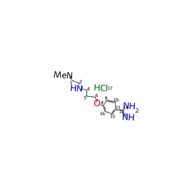 CNCCNCCCOc1ccc(C(=N)N)cc1.Cl